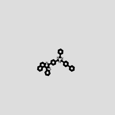 c1ccc(-c2ccc(-c3nc(-c4ccccc4)nc(-c4ccc(-c5nc6ccc7ccccc7c6c6c5sc5ccccc56)cc4)n3)cc2)cc1